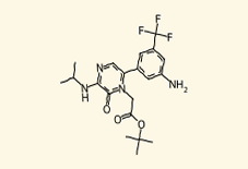 CC(C)Nc1ncc(-c2cc(N)cc(C(F)(F)F)c2)n(CC(=O)OC(C)(C)C)c1=O